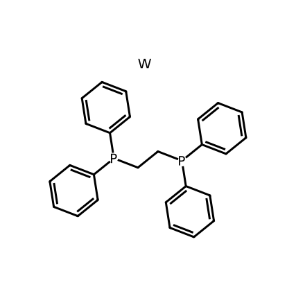 [W].c1ccc(P(CCP(c2ccccc2)c2ccccc2)c2ccccc2)cc1